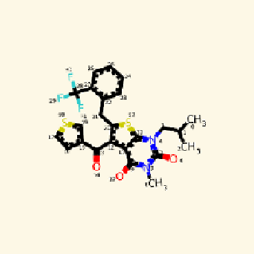 CC(C)Cn1c(=O)n(C)c(=O)c2c(C(=O)c3ccsc3)c(Cc3ccccc3C(F)(F)F)sc21